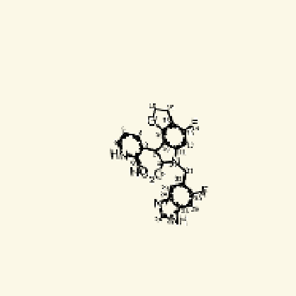 O=C(O)C1C(c2ccc[nH]c2=O)c2c(cc(F)c3c2OCC3)N1Cc1cc2nc[nH]c2cc1F